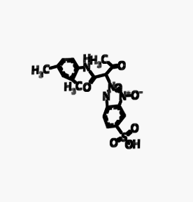 CC(=O)C(/N=N/c1ccc(S(=O)(=O)O)cc1[N+](=O)[O-])C(=O)Nc1ccc(C)cc1C